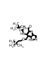 CC(C)(C)OC(=O)Nc1c(C=O)nc2cn[nH]c2c1COCC[Si](C)(C)C